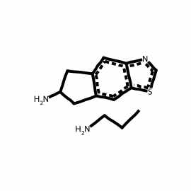 CCCN.NC1Cc2cc3ncsc3cc2C1